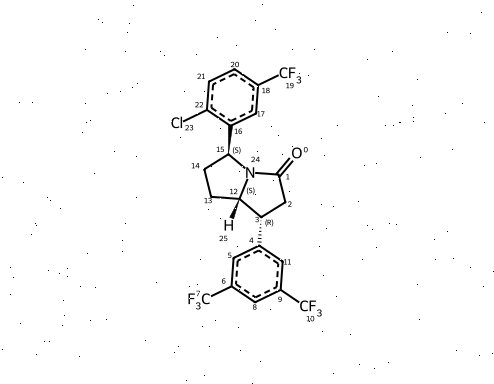 O=C1C[C@H](c2cc(C(F)(F)F)cc(C(F)(F)F)c2)[C@@H]2CC[C@@H](c3cc(C(F)(F)F)ccc3Cl)N12